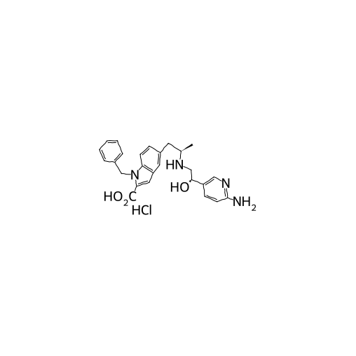 C[C@H](Cc1ccc2c(c1)cc(C(=O)O)n2Cc1ccccc1)NC[C@H](O)c1ccc(N)nc1.Cl